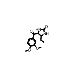 CCC1NC(=O)NC1C(=O)c1ccc(OC)c(OC)c1